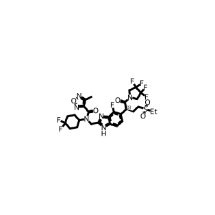 CCS(=O)(=O)CC[C@H](C(=O)N1CC(F)(F)C(F)(F)C1)c1ccc2[nH]c(CN(C(=O)c3nonc3C)C3CCC(F)(F)CC3)nc2c1F